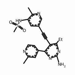 CCc1nc(N)nc(-c2ccnc(C)c2)c1C#Cc1cnc(C)c(NS(C)(=O)=O)c1